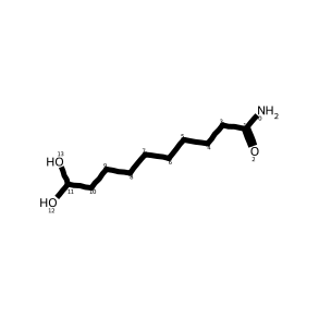 NC(=O)CCCCCCCCC(O)O